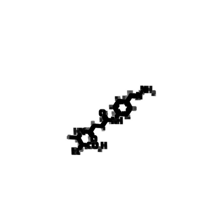 CCC(C(=O)O)C(C)NC(=O)CCC(=O)Nc1ccc(C=NN)cc1